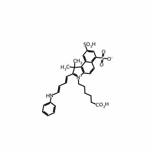 CC1(C)C(/C=C/C=C/Nc2ccccc2)=[N+](CCCCCC(=O)O)c2ccc3c(S(=O)(=O)[O-])cc(S(=O)(=O)O)cc3c21